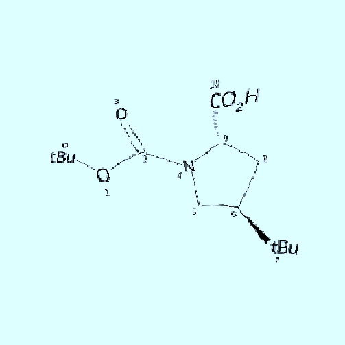 CC(C)(C)OC(=O)N1C[C@H](C(C)(C)C)C[C@H]1C(=O)O